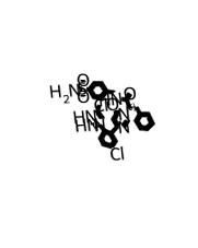 NS(=O)(=O)c1ccc(CNC(=O)[C@H](Cc2ccccc2)n2cnc(-c3cc(Cl)ccc3N3C=C(Cl)NN3)cc2=O)cc1